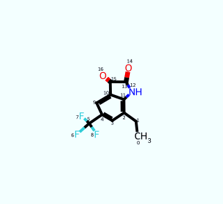 CCc1cc(C(F)(F)F)cc2c1NC(=O)C2=O